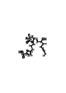 CCC#CCC(C)C(O)C=C[C@H]1CC(F)(F)C(=O)N1CCCc1ccc(C(=O)O)s1